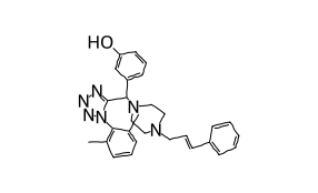 Cc1cccc(C)c1-n1nnnc1C(c1cccc(O)c1)N1CCN(CC=Cc2ccccc2)CC1